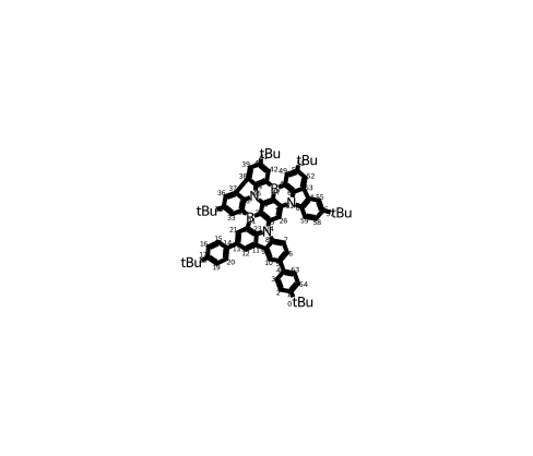 CC(C)(C)c1ccc(-c2ccc3c(c2)c2cc(-c4ccc(C(C)(C)C)cc4)cc4c2n3-c2cc3c5c6c2B4c2cc(C(C)(C)C)cc4c7cc(C(C)(C)C)cc(c7n-6c24)B5c2cc(C(C)(C)C)cc4c5cc(C(C)(C)C)ccc5n-3c24)cc1